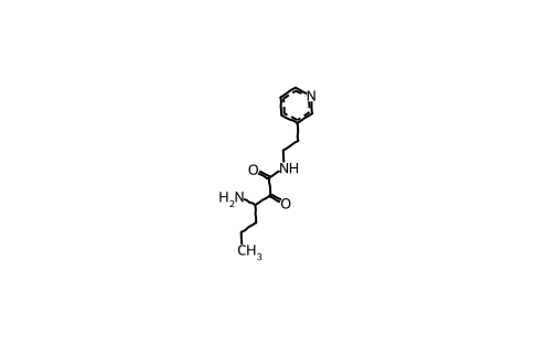 CCCC(N)C(=O)C(=O)NCCc1cccnc1